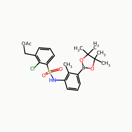 CC(=O)OCc1cccc(S(=O)(=O)Nc2cccc(B3OC(C)(C)C(C)(C)O3)c2C)c1Cl